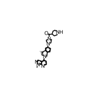 C[C@H]1CN(c2ccnc3c2cnn3C)Cc2ccc(N3CCN(C(=O)C4CCNCC4)CC3)cc21